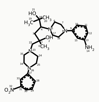 CC(O)(CC(N1CCN(c2cccc(N)c2)CC1)C(C)(C)O)CN1CCN(c2cccc([N+](=O)[O-])c2)CC1